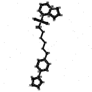 O=S(=O)(NCCCCOc1ccc(-n2cnnn2)cc1)c1cccc2nsnc12